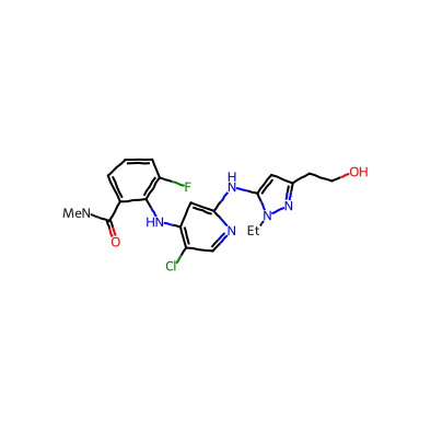 CCn1nc(CCO)cc1Nc1cc(Nc2c(F)cccc2C(=O)NC)c(Cl)cn1